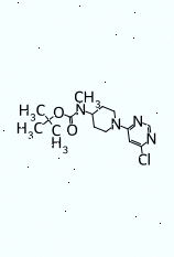 CN(C(=O)OC(C)(C)C)C1CCN(c2cc(Cl)ncn2)CC1